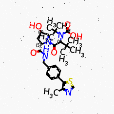 Cc1ncsc1-c1ccc(CNC(=O)[C@@H]2C[C@@H](O)CN2C(=O)[C@@H](N(C(=O)O)C(C)(C)C)C(C)(C)C)cc1